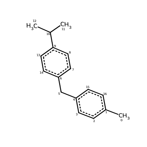 Cc1ccc(Cc2ccc(C(C)C)cc2)cc1